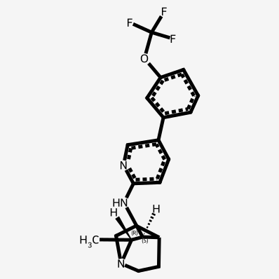 C[C@@H]1[C@@H](Nc2ccc(-c3cccc(OC(F)(F)F)c3)cn2)C2CCN1CC2